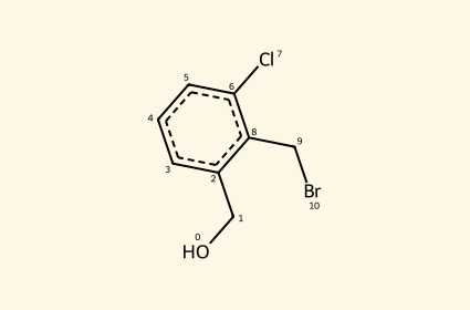 OCc1cccc(Cl)c1CBr